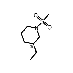 CC[C@H]1CCCN(S(C)(=O)=O)C1